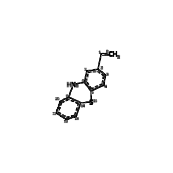 C=Cc1ccc2c(c1)Nc1ccccc1S2